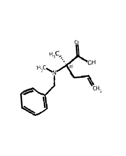 C=CC[C@](C)(C(=O)O)N(C)Cc1ccccc1